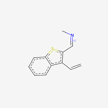 C=Cc1c(/C=N\C)sc2ccccc12